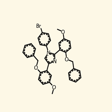 COc1ccc(OCc2ccccc2)c(-c2cn(-c3ccc(Br)cc3)c(-c3cc(OC)ccc3OCc3ccccc3)n2)c1